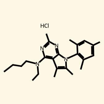 CCCCN(CC)c1nc(C)nc2c1c(C)c(C)n2-c1c(C)cc(C)cc1C.Cl